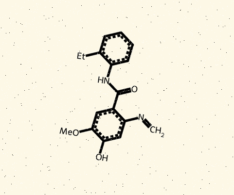 C=Nc1cc(O)c(OC)cc1C(=O)Nc1ccccc1CC